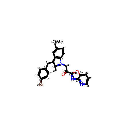 COc1ccc2c(c1)C(Cc1ccc(Br)cc1)C(C)N2CC(=O)c1nc2ncccc2o1